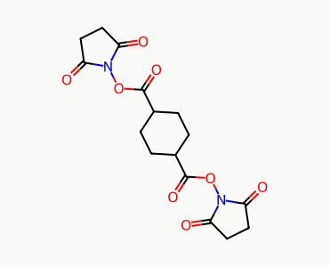 O=C(ON1C(=O)CCC1=O)C1CCC(C(=O)ON2C(=O)CCC2=O)CC1